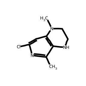 Cc1nc(Cl)cc2c1NCCN2C